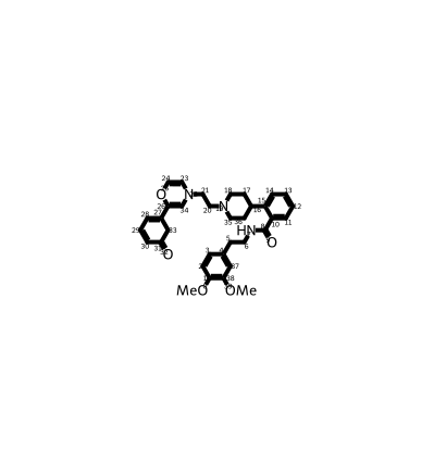 COc1ccc(CCNC(=O)c2ccccc2C2CCN(CCN3C=COC(C4=CC=CC(=O)C4)=C3)CC2)cc1OC